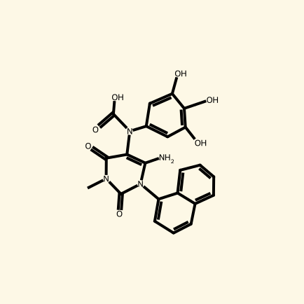 Cn1c(=O)c(N(C(=O)O)c2cc(O)c(O)c(O)c2)c(N)n(-c2cccc3ccccc23)c1=O